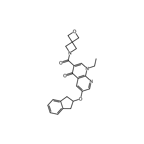 CCn1cc(C(=O)N2CC3(COC3)C2)c(=O)c2cc(OC3Cc4ccccc4C3)cnc21